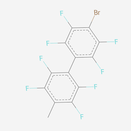 Cc1c(F)c(F)c(-c2c(F)c(F)c(Br)c(F)c2F)c(F)c1F